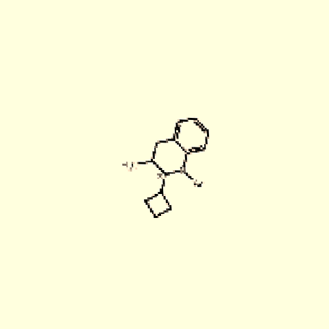 CC(=O)N1c2ccccc2CC(C)[C@@H]1C1CCC1